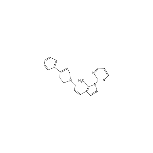 Cc1c(/C=C\CN2CC=C(c3ccccc3)CC2)cnn1-c1ncccn1